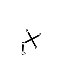 N#COC(F)(F)F